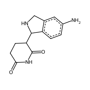 Nc1ccc2c(c1)CNC2C1CCC(=O)NC1=O